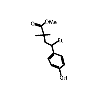 CCC(CC(C)(C)C(=O)OC)c1ccc(O)cc1